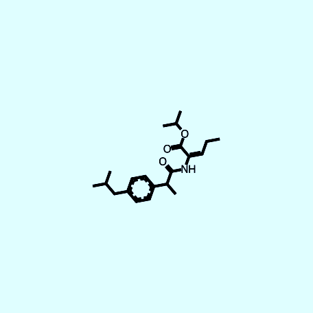 CCC=C(NC(=O)C(C)c1ccc(CC(C)C)cc1)C(=O)OC(C)C